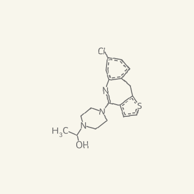 CC(O)N1CCN(C2=Nc3cc(Cl)ccc3Cc3sccc32)CC1